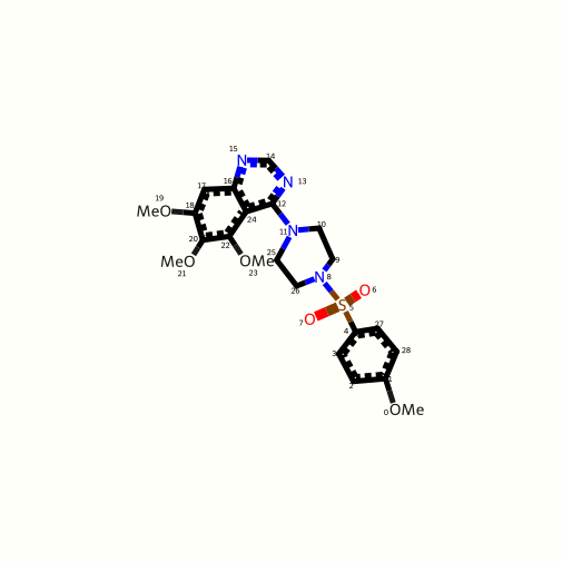 COc1ccc(S(=O)(=O)N2CCN(c3ncnc4cc(OC)c(OC)c(OC)c34)CC2)cc1